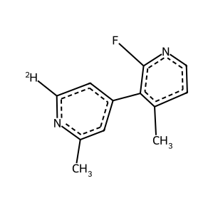 [2H]c1cc(-c2c(C)ccnc2F)cc(C)n1